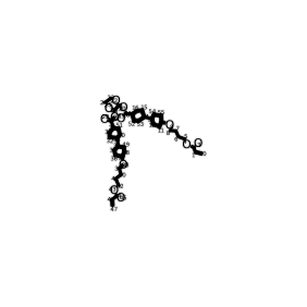 C=CC(=O)OCCCCOc1ccc(-c2ccc(C(=O)O[C@@H]3OCCO[C@H]3OC(=O)c3ccc(-c4ccc(OCCCCOC(=O)C=C)cc4)cc3)cc2)cc1